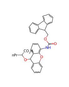 CCCC(OC1c2ccccc2Oc2c(NC(=O)OCC3c4ccccc4-c4ccccc43)cccc21)C(=O)O